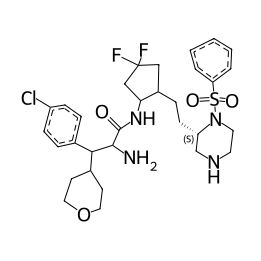 NC(C(=O)NC1CC(F)(F)CC1CC[C@H]1CNCCN1S(=O)(=O)c1ccccc1)C(c1ccc(Cl)cc1)C1CCOCC1